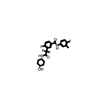 Cc1cc(NC(=O)c2ccc(F)c(C(F)(F)C(=O)N[C@H]3CC[C@H](O)CC3)c2)ccc1F